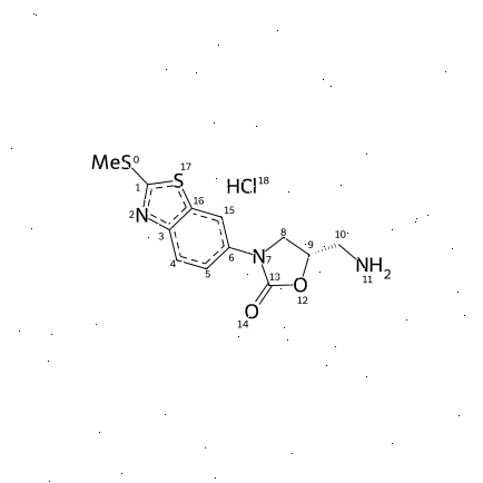 CSc1nc2ccc(N3C[C@H](CN)OC3=O)cc2s1.Cl